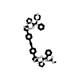 COC(=O)N[C@@H](C(=O)N1CCC[C@H]1c1ncc(-c2ccc(C#Cc3ccc(-c4cnc([C@@H]5CCCN5C(=O)[C@@H](c5ccccc5)N5CCOCC5)[nH]4)cc3)cc2)[nH]1)c1ccccc1